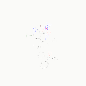 Cc1c(C(C)(C)CCO[Si](c2ccccc2)(c2ccccc2)C(C)(C)C)nc(N2CC3CCC(C2)N3C(=O)OC(C)(C)C)c2cnc(Cl)c(F)c12